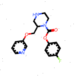 O=C(Oc1ccc(F)cc1)N1CCNCC1COc1cccnc1